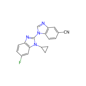 N#Cc1ccc2c(c1)ncn2-c1nc2ccc(F)cc2n1C1CC1